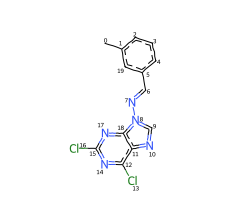 Cc1cccc(C=Nn2cnc3c(Cl)nc(Cl)nc32)c1